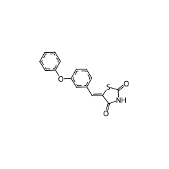 O=C1NC(=O)/C(=C/c2cccc(Oc3ccccc3)c2)S1